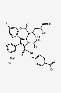 C=C[C@@H](O)C[C@@H](O)C(C(=O)[O-])c1c(-c2ccc(F)cc2)c(-c2ccccc2)c(C(=O)NCc2ccc(C(=O)[O-])cc2)n1C(C)C.[Na+].[Na+]